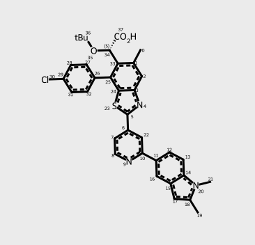 Cc1cc2nc(-c3ccnc(-c4ccc5c(c4)cc(C)n5C)c3)sc2c(-c2ccc(Cl)cc2)c1[C@H](OC(C)(C)C)C(=O)O